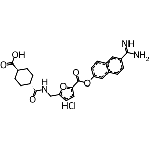 Cl.N=C(N)c1ccc2cc(OC(=O)c3ccc(CNC(=O)[C@H]4CC[C@H](C(=O)O)CC4)o3)ccc2c1